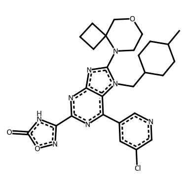 CC1CCC(Cn2c(N3CCOCC34CCC4)nc3nc(-c4noc(=O)[nH]4)nc(-c4cncc(Cl)c4)c32)CC1